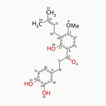 COc1ccc(C(=O)CCc2ccc(O)c(O)c2)c(O)c1CC=C(C)C